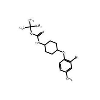 CC(C)(C)OC(=O)NC1CCC(Oc2ccc(N)cc2Br)CC1